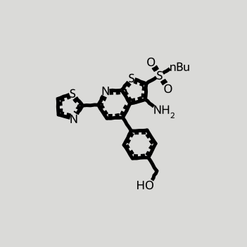 CCCCS(=O)(=O)c1sc2nc(-c3nccs3)cc(-c3ccc(CO)cc3)c2c1N